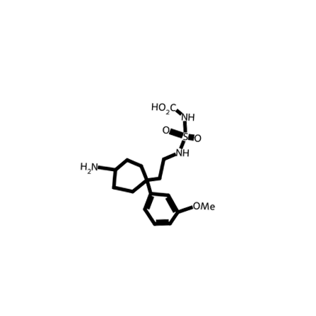 COc1cccc(C2(CCNS(=O)(=O)NC(=O)O)CCC(N)CC2)c1